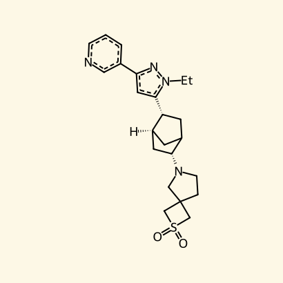 CCn1nc(-c2cccnc2)cc1[C@@H]1CC2C[C@H]1C[C@H]2N1CCC2(C1)CS(=O)(=O)C2